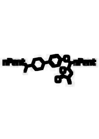 C=C1CC(C(CCCCC)Oc2ccc(C3CCC(C(C)CCCCC)CC3)cc2)OC1=O